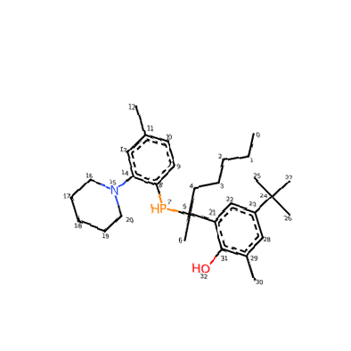 CCCCCC(C)(Pc1ccc(C)cc1N1CCCCC1)c1cc(C(C)(C)C)cc(C)c1O